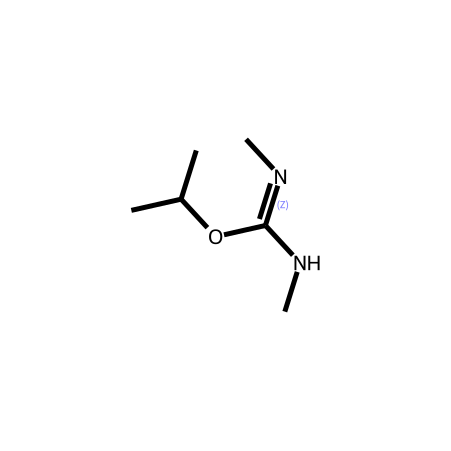 C/N=C(/NC)OC(C)C